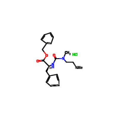 CNCCN(C)C(=O)N[C@@H](Cc1ccccc1)C(=O)OCc1ccccc1.Cl